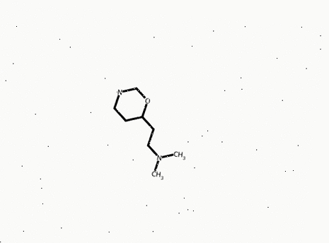 CN(C)CCC1CC[N]CO1